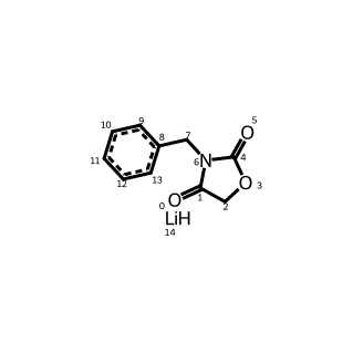 O=C1COC(=O)N1Cc1ccccc1.[LiH]